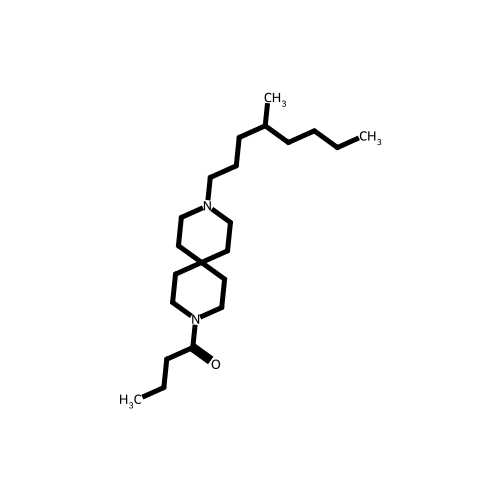 CCCCC(C)CCCN1CCC2(CC1)CCN(C(=O)CCC)CC2